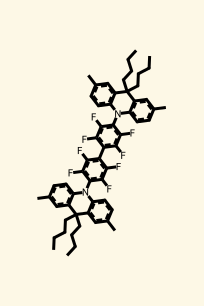 CCCCC1(CCCC)c2cc(C)ccc2N(c2c(F)c(F)c(-c3c(F)c(F)c(N4c5ccc(C)cc5C(CCCC)(CCCC)c5cc(C)ccc54)c(F)c3F)c(F)c2F)c2ccc(C)cc21